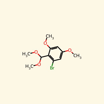 COc1cc(Br)c(C(OC)OC)c(OC)c1